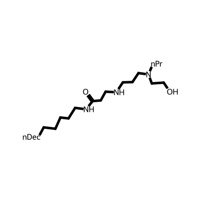 CCCCCCCCCCCCCCCNC(=O)CCNCCCN(CCC)CCO